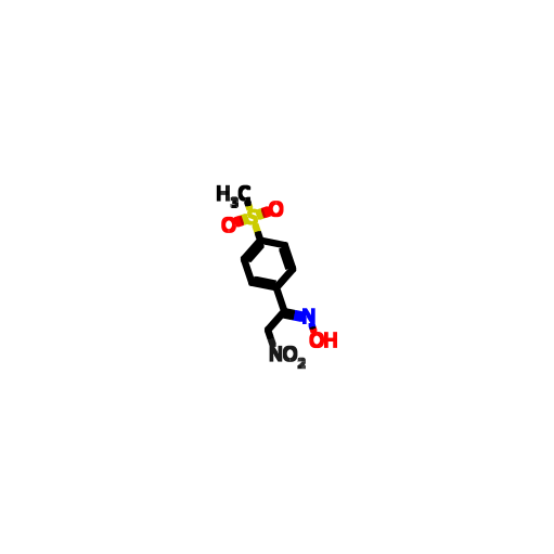 CS(=O)(=O)c1ccc(C(C[N+](=O)[O-])=NO)cc1